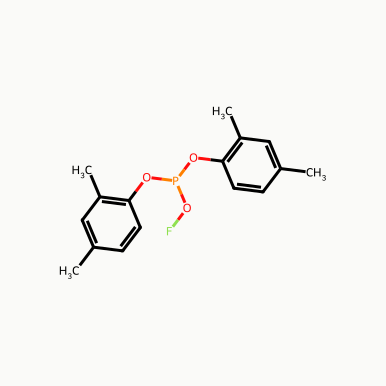 Cc1ccc(OP(OF)Oc2ccc(C)cc2C)c(C)c1